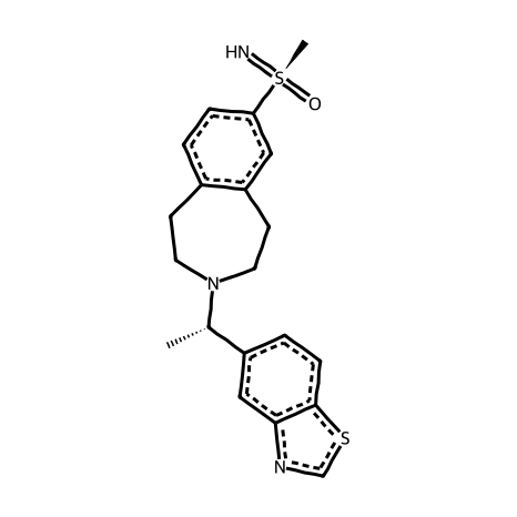 C[C@@H](c1ccc2scnc2c1)N1CCc2ccc([S@](C)(=N)=O)cc2CC1